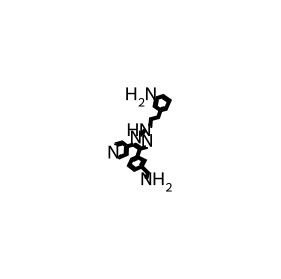 NCc1cccc(-c2cnc(NCCCc3cccc(N)c3)nc2-c2ccncc2)c1